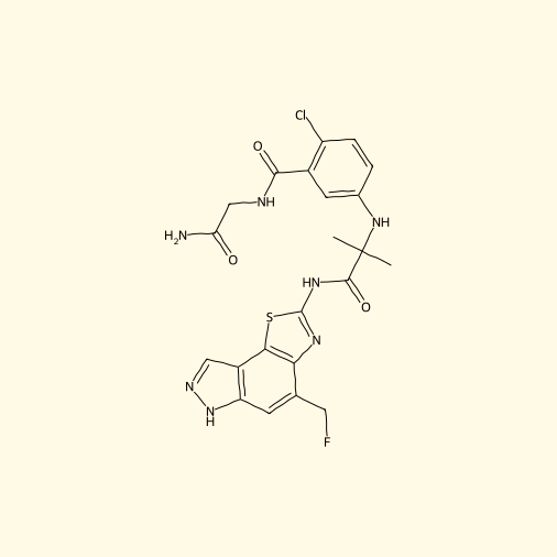 CC(C)(Nc1ccc(Cl)c(C(=O)NCC(N)=O)c1)C(=O)Nc1nc2c(CF)cc3[nH]ncc3c2s1